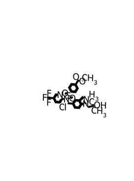 COC(=O)c1ccc(S(=O)(=O)N(Cc2ccc3c(cnn3CC(C)(C)O)c2)c2ncc(C(F)(F)F)cc2Cl)cc1